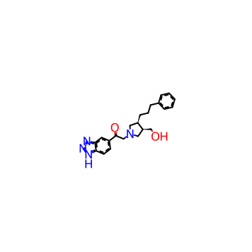 O=C(CN1C[C@@H](CCCc2ccccc2)[C@@H](CO)C1)c1ccc2[nH]nnc2c1